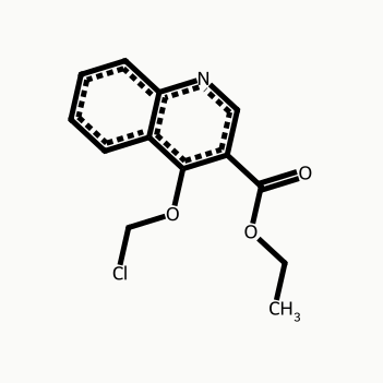 CCOC(=O)c1cnc2ccccc2c1OCCl